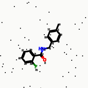 Cc1ccc(CNC(=O)c2ccccc2F)cc1